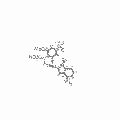 CCCn1c(C#CCN(C(=O)O)c2c(F)cc(S(C)(=O)=O)cc2OC)cc2c(N)cccc21